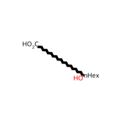 CCCCCCC(O)CCCCCCCCCCCCCCCCCCC(=O)O